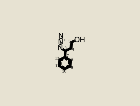 [N-]=[N+]=NC(CCO)c1ccccc1